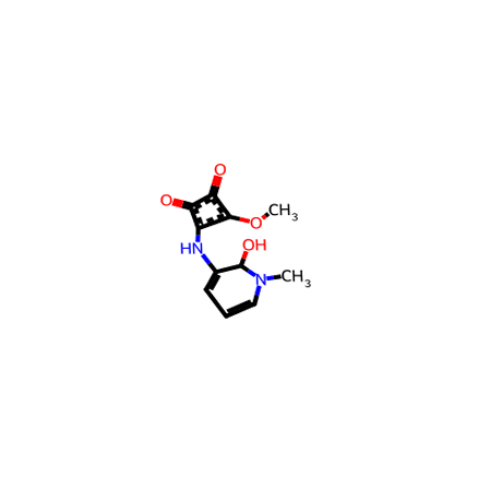 COc1c(NC2=CC=CN(C)C2O)c(=O)c1=O